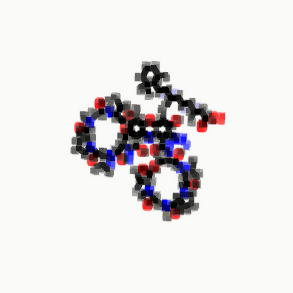 CC1=C(/C=C/C(C)=C/C=C/C(C)=C/C(=O)O)C(C)(C)CCC1.Cc1c2oc3c(C)ccc(C(=O)N[C@@H]4C(=O)N[C@H](C(C)C)C(=O)N5CCC[C@H]5C(=O)N(C)CC(=O)N(C)[C@@H](C(C)C)C(=O)O[C@@H]4C)c3nc-2c(C(=O)N[C@@H]2C(=O)N[C@H](C(C)C)C(=O)N3CCC[C@H]3C(=O)N(C)CC(=O)N(C)[C@@H](C(C)C)C(=O)O[C@@H]2C)c(N)c1=O